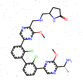 COc1nc(-c2cccc(-c3cccc(-c4cnc([C@@H](C)N)c(OC)n4)c3Cl)c2Cl)cnc1CNCC1CCC(=O)N1